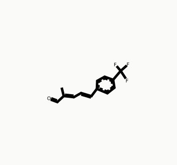 C/C(C=O)=C\C=C\c1ccc(C(F)(F)F)cc1